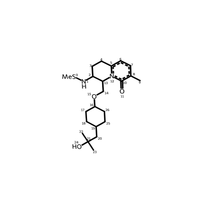 CSNC1CCc2ccc(C)c(=O)n2C1COC1CCC(CC(C)(C)O)CC1